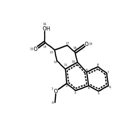 COc1cc2ccccc2c2c1CC(C(=O)O)CC2=O